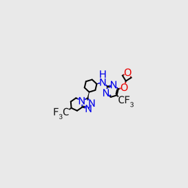 FC(F)(F)c1cnc(N[C@@H]2CCC[C@H](c3nnc4n3CCC(C(F)(F)F)C4)C2)nc1OC1COC1